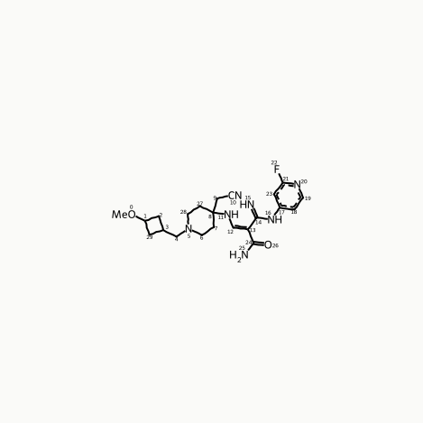 COC1CC(CN2CCC(CC#N)(N/C=C(\C(=N)Nc3ccnc(F)c3)C(N)=O)CC2)C1